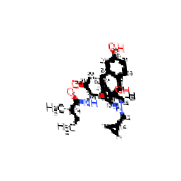 CC[C@H](C)C(=O)N[C@H]1C[C@@]2(O)[C@@H]3N(CC4CC4)C4CC5C43Cc3ccc(O)cc3[C@]52CC1=O